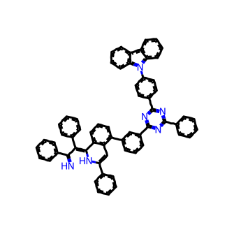 N=C(/C(=C1\NC(c2ccccc2)=Cc2c1cccc2-c1cccc(-c2nc(-c3ccccc3)nc(-c3ccc(-n4c5ccccc5c5ccccc54)cc3)n2)c1)c1ccccc1)c1ccccc1